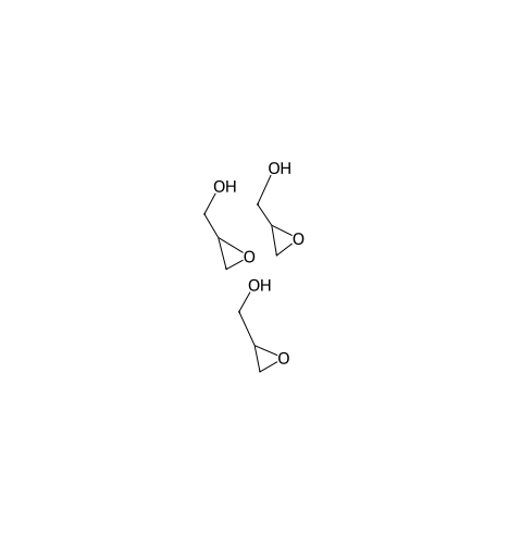 OCC1CO1.OCC1CO1.OCC1CO1